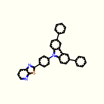 c1ccc(-c2ccc3c(c2)c2cc(-c4ccccc4)ccc2n3-c2ccc(-c3nc4cccnc4s3)cc2)cc1